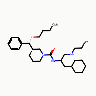 COCCCO[C@@H](c1ccccc1)[C@@H]1CCCN(C(=O)NC(CNCCC(C)C)CC2CCCCC2)C1